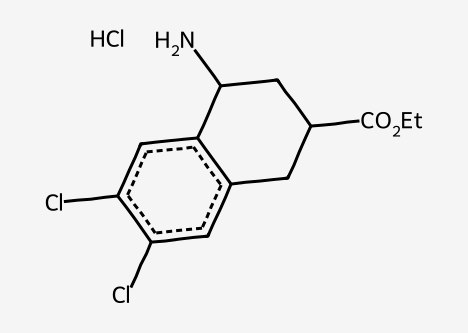 CCOC(=O)C1Cc2cc(Cl)c(Cl)cc2C(N)C1.Cl